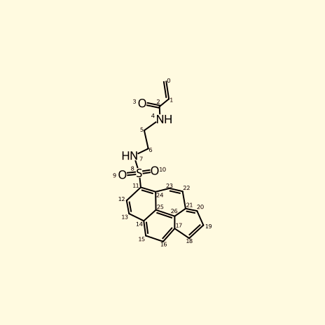 C=CC(=O)NCCNS(=O)(=O)c1ccc2ccc3cccc4ccc1c2c34